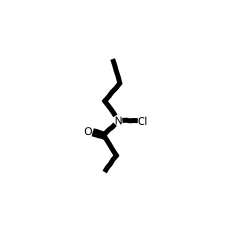 CCCN(Cl)C(=O)CC